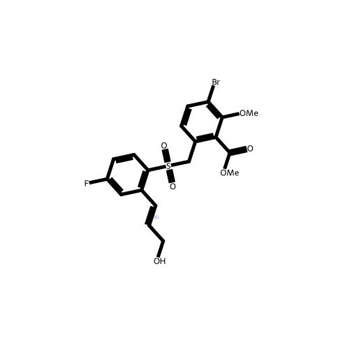 COC(=O)c1c(CS(=O)(=O)c2ccc(F)cc2/C=C/CO)ccc(Br)c1OC